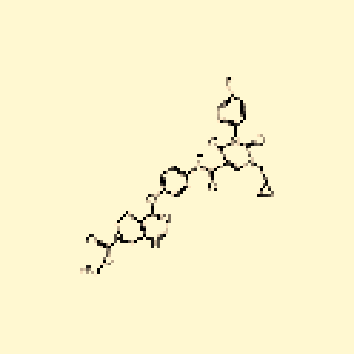 CC(C)(C)OC(=O)N1CCc2c(ncnc2Oc2ccc(NC(=O)c3cn(CC4CC4)c(=O)n(-c4ccc(F)cc4)c3=O)cc2)C1